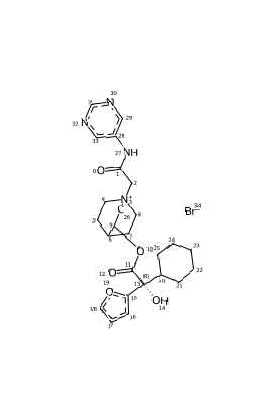 O=C(C[N+]12CCC(CC1)C(OC(=O)[C@](O)(c1ccco1)C1CCCCC1)C2)Nc1cncnc1.[Br-]